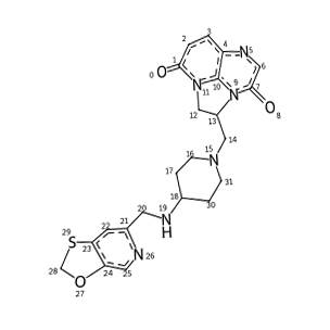 O=c1ccc2ncc(=O)n3c2n1CC3CN1CCC(NCc2cc3c(cn2)OCS3)CC1